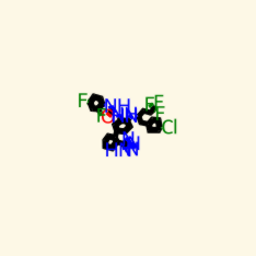 O=C(Nc1ccc(F)cc1F)Nc1cc(-c2ccccc2-c2nnn[nH]2)ccc1NC(CCC(F)(F)F)Cc1ccc(Cl)cc1